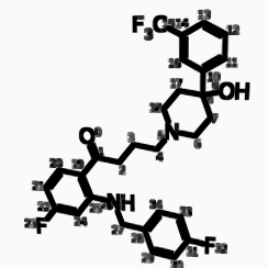 O=C(CCCN1CCC(O)(c2cccc(C(F)(F)F)c2)CC1)c1ccc(F)cc1NCc1ccc(F)cc1